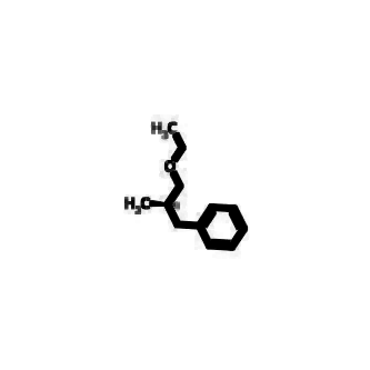 CCOC[C@H](C)Cc1ccccc1